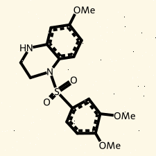 COc1ccc2c(c1)NCCN2S(=O)(=O)c1ccc(OC)c(OC)c1